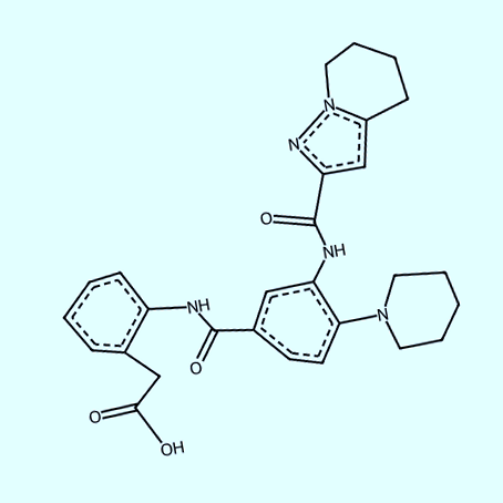 O=C(O)Cc1ccccc1NC(=O)c1ccc(N2CCCCC2)c(NC(=O)c2cc3n(n2)CCCC3)c1